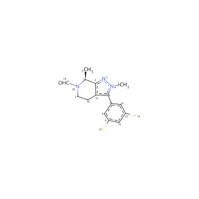 C[C@H]1c2nn(C)c(-c3cc(F)cc(F)c3)c2CCN1C=O